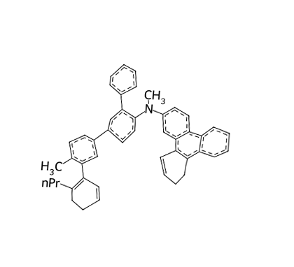 CCCC1=C(c2cc(-c3ccc(N(C)c4ccc5c(c4)c4c(c6ccccc65)CCC=C4)c(-c4ccccc4)c3)ccc2C)C=CCC1